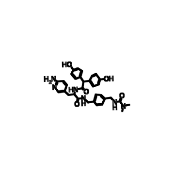 CN(C)C(=O)NCc1ccc(CNC(=O)C(Cc2ccc(N)nc2)NC(=O)C(c2ccc(O)cc2)c2ccc(O)cc2)cc1